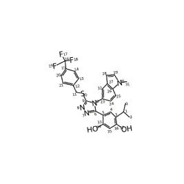 CC(C)c1cc(-c2nnc(SCc3ccc(C(F)(F)F)cc3)n2-c2ccc3c(ccn3C)c2)c(O)cc1O